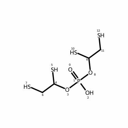 O=P(O)(OC(S)CS)OC(S)CS